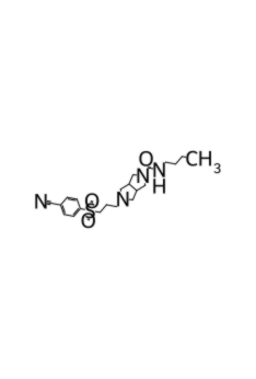 CCCCNC(=O)N1CC2CN(CCCS(=O)(=O)c3ccc(C#N)cc3)CC2C1